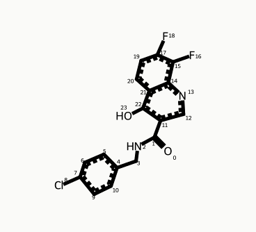 O=C(NCc1ccc(Cl)cc1)c1cnc2c(F)c(F)ccc2c1O